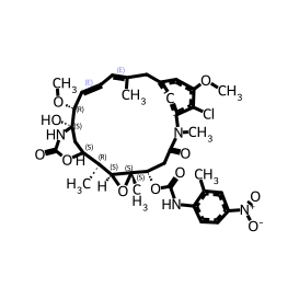 COc1cc2cc(c1Cl)N(C)C(=O)C[C@H](OC(=O)Nc1ccc([N+](=O)[O-])cc1C)[C@]1(C)O[C@H]1[C@H](C)[C@@H]1C[C@@](O)(NC(=O)O1)[C@H](OC)/C=C/C=C(\C)C2